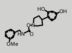 COc1cccc(CNC(=O)ON2CCC(c3ccc(O)cc3O)CC2)c1